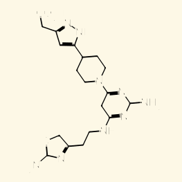 NC1N=C(NCCC2=NC(N)SC2)CC(N2CCC(c3cc(CC(=O)O)n[nH]3)CC2)=N1